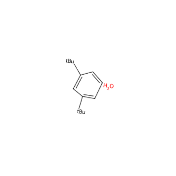 CC(C)(C)c1cccc(C(C)(C)C)c1.O